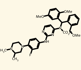 COCc1ccccc1C(c1cc(OC)ccc1OC)N(C(=O)O)c1ccnc(Nc2ccc(N3CCN(C)C(C)C3)c(F)c2)n1